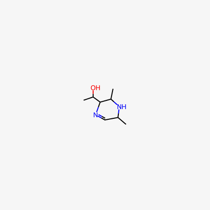 CC1C=NC(C(C)O)C(C)N1